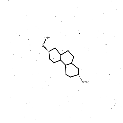 CCCCC[C@@H]1CCC2C(CCC3C[C@H](OCCC)CCC32)C1